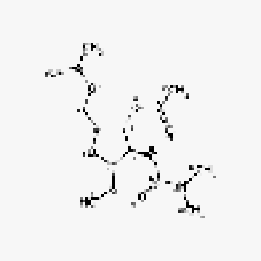 CC(=O)OCC1O[C@H](CO)[C@H](OC(=O)N(C)C)[C@H]1OC(C)=O